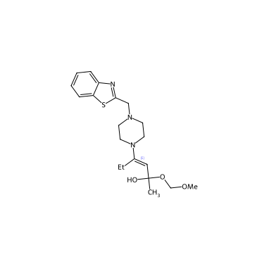 CC/C(=C\C(C)(O)OCOC)N1CCN(Cc2nc3ccccc3s2)CC1